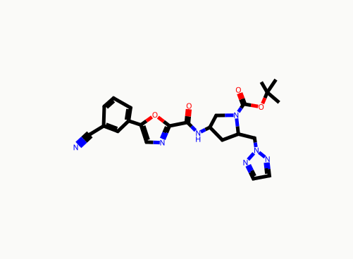 CC(C)(C)OC(=O)N1CC(NC(=O)c2ncc(-c3cccc(C#N)c3)o2)CC1Cn1nccn1